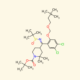 CC(C)(C)OC(=O)N1CCC(/C(=N\[S+]([O-])C(C)(C)C)c2cc(Cl)c(Cl)cc2OCOCC[Si](C)(C)C)CC1(C)C